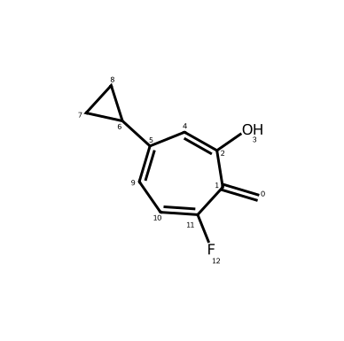 C=C1C(O)=CC(C2CC2)=CC=C1F